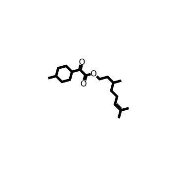 CC(C)=CCCC(C)CCOC(=O)C(=O)C1CCC(C)CC1